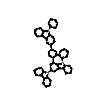 c1ccc(-n2c3ccccc3c3cc(-c4ccc(-c5cc(-n6c7ccccc7c7ccccc76)cc6c7ccccc7n(-c7ccccc7)c56)cc4)ccc32)cc1